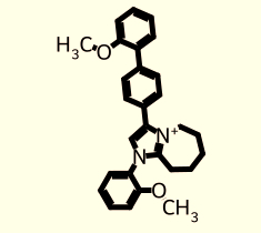 COc1ccccc1-c1ccc(-c2cn(-c3ccccc3OC)c3[n+]2CCCCC3)cc1